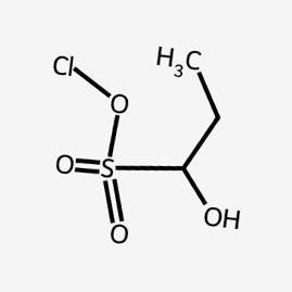 CCC(O)S(=O)(=O)OCl